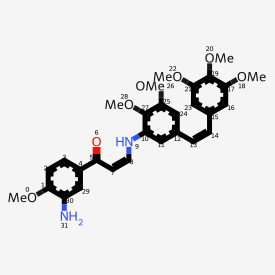 COc1ccc(C(=O)/C=C\Nc2cc(/C=C\c3cc(OC)c(OC)c(OC)c3)cc(OC)c2OC)cc1N